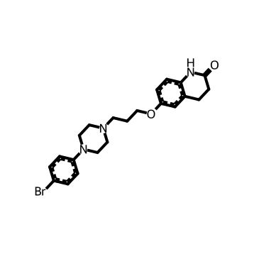 O=C1CCc2cc(OCCCN3CCN(c4ccc(Br)cc4)CC3)ccc2N1